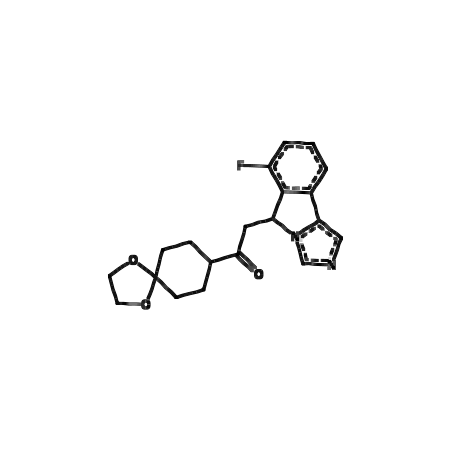 O=C(CC1c2c(F)cccc2-c2cncn21)C1CCC2(CC1)OCCO2